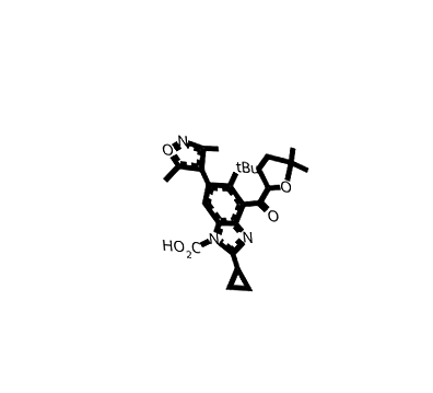 Cc1noc(C)c1-c1cc2c(nc(C3CC3)n2C(=O)O)c(C(=O)C2CCC(C)(C)O2)c1C(C)(C)C